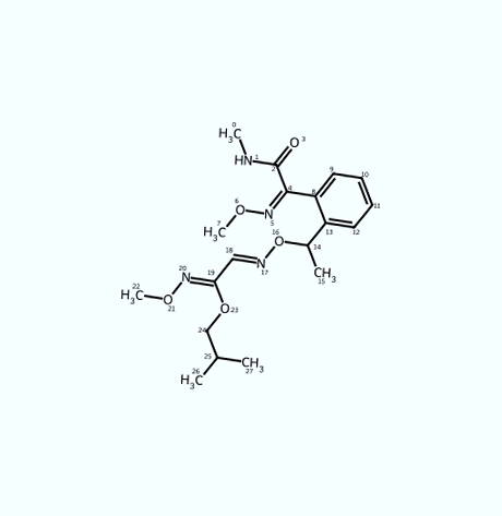 CNC(=O)C(=NOC)c1ccccc1C(C)ON=CC(=NOC)OCC(C)C